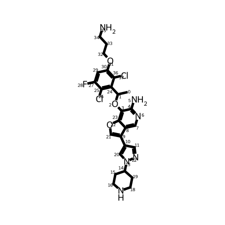 CC(Oc1c(N)ncc2c(-c3cnn(C4CCNCC4)c3)coc12)c1c(Cl)c(F)cc(OCCCN)c1Cl